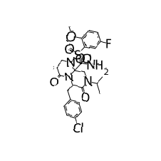 COc1ccc(F)cc1S(=O)(=O)N1C[C]C(=O)N2C(Cc3ccc(Cl)cc3)C(=O)N(C(C)C)CC21C(N)=O